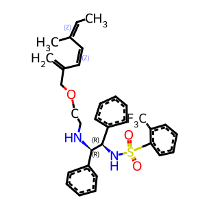 C=C(/C=C\C(C)=C/C)COCCN[C@H](c1ccccc1)[C@H](NS(=O)(=O)c1ccccc1C(F)(F)F)c1ccccc1